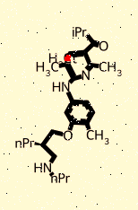 C\C=C(C(=O)C(C)C)/C(C)=N\C(Nc1ccc(C)c(OC[C@H](CCC)CNCCC)c1)=C(\C)CC